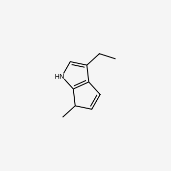 CCc1c[nH]c2c1C=CC2C